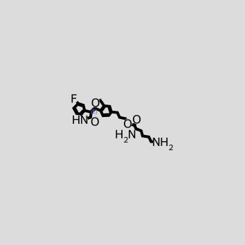 NCCCCC(N)C(=O)OCCCc1ccc2c(c1)CO/C2=C1/C(=O)Nc2ccc(F)cc21